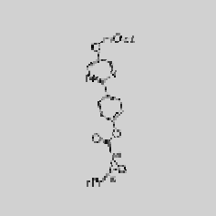 CCCCCCCCOc1cnc(-c2ccc(OC(=O)[C@H]3O[C@H]3CCC)cc2)nc1